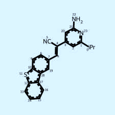 CC(C)c1cc(/C(C#N)=C/c2ccc3sc4ccccc4c3c2)cc(N)n1